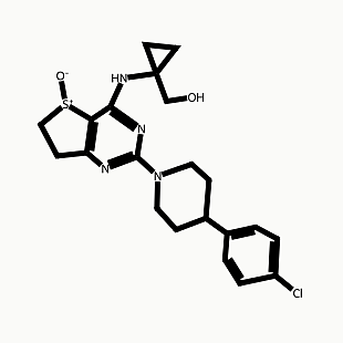 [O-][S+]1CCc2nc(N3CCC(c4ccc(Cl)cc4)CC3)nc(NC3(CO)CC3)c21